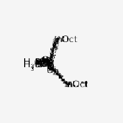 CCCCCCCC/C=C\CCCCCCCCCCCCCC(=O)OC[C@H](COP(=O)(O)OCC[N+](C)(C)C)OC(=O)CCCCCCCCCCCCC/C=C\CCCCCCCC